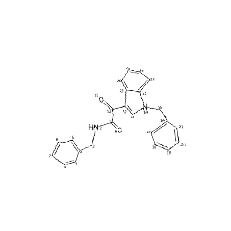 O=C(NCc1ccccc1)C(=O)c1cn(Cc2ccccc2)c2ccccc12